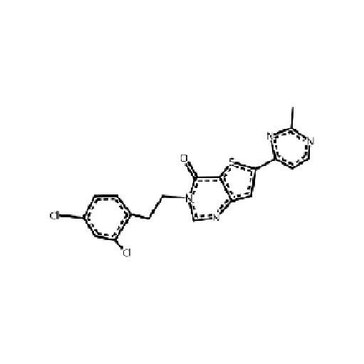 Cc1nccc(-c2cc3ncn(CCc4ccc(Cl)cc4Cl)c(=O)c3s2)n1